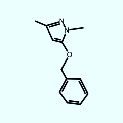 Cc1cc(OCc2ccccc2)n(C)n1